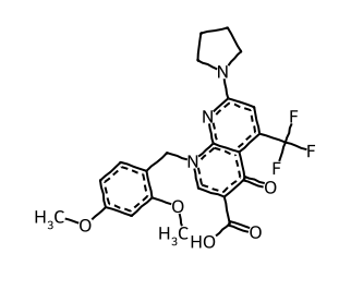 COc1ccc(Cn2cc(C(=O)O)c(=O)c3c(C(F)(F)F)cc(N4CCCC4)nc32)c(OC)c1